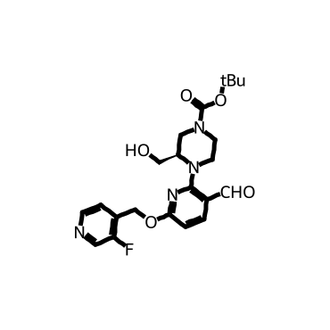 CC(C)(C)OC(=O)N1CCN(c2nc(OCc3ccncc3F)ccc2C=O)[C@@H](CO)C1